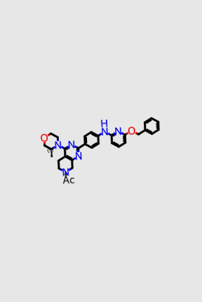 CC(=O)N1CCc2c(nc(-c3ccc(Nc4cccc(OCc5ccccc5)n4)cc3)nc2N2CCOC[C@@H]2C)C1